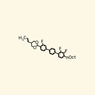 C/C=C/C1COC(c2ccc(-c3ccc(-c4ccc(CCCCCCCC)c(F)c4F)cc3)cc2F)OC1